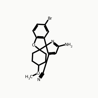 COC1CCC2(CC1)Oc1ccc(Br)cc1C21N=C(N)c2ccc(C#N)cc21